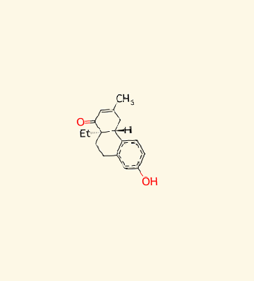 CC[C@@]12CCc3cc(O)ccc3[C@H]1CC(C)=CC2=O